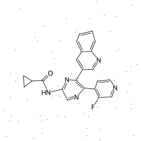 O=C(Nc1cnc(-c2ccncc2F)c(-c2cnc3ccccc3c2)n1)C1CC1